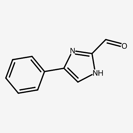 O=Cc1nc(-c2ccccc2)c[nH]1